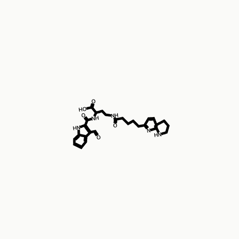 O=Cc1c(C(=O)NC(CCNC(=O)CCCCc2ccc3c(n2)NCCC3)C(=O)O)[nH]c2ccccc12